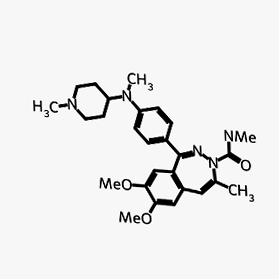 CNC(=O)N1N=C(c2ccc(N(C)C3CCN(C)CC3)cc2)c2cc(OC)c(OC)cc2C=C1C